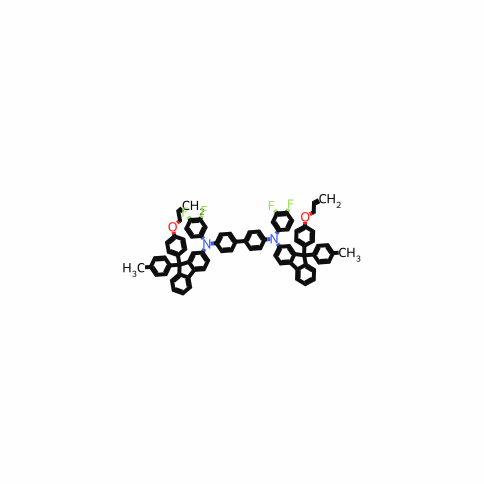 C=CCOc1ccc(C2(c3ccc(C)cc3)c3ccccc3-c3ccc(N(c4ccc(-c5ccc(N(c6ccc(F)c(F)c6)c6ccc7c(c6)C(c6ccc(C)cc6)(c6ccc(OCC=C)cc6)c6ccccc6-7)cc5)cc4)c4ccc(F)c(F)c4)cc32)cc1